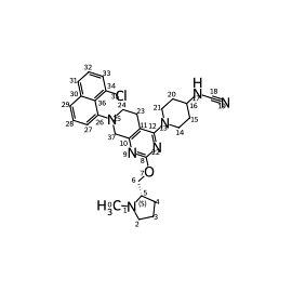 CN1CCC[C@H]1COc1nc2c(c(N3CCC(NC#N)CC3)n1)CCN(c1cccc3cccc(Cl)c13)C2